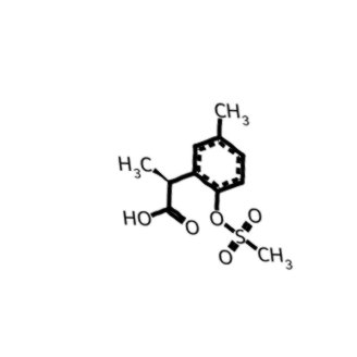 Cc1ccc(OS(C)(=O)=O)c([C@H](C)C(=O)O)c1